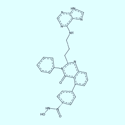 O=C(NO)c1ccc(-c2cccc3nc(CCCNc4ncnc5[nH]cnc45)n(-c4ccccc4)c(=O)c23)cc1